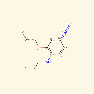 CCCNC1=C(OCCC)CC(=[N+]=[N-])C=C1